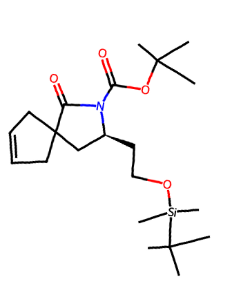 CC(C)(C)OC(=O)N1C(=O)C2(CC=CC2)C[C@@H]1CCO[Si](C)(C)C(C)(C)C